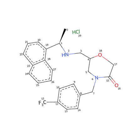 C[C@@H](NCC1CN(Cc2ccc(C(F)(F)F)cc2)C(=O)CO1)c1cccc2ccccc12.Cl